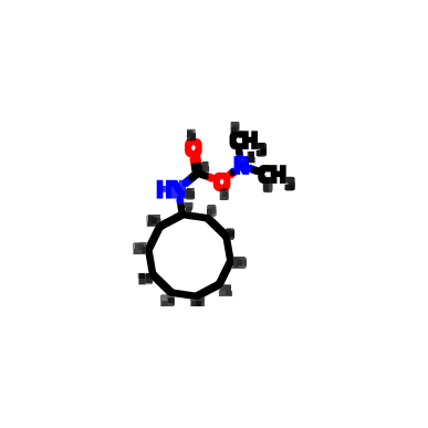 CN(C)OC(=O)NC1CCCCCCCCC1